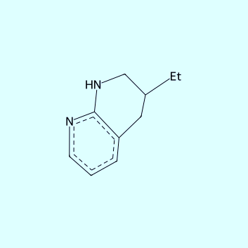 CCC1CNc2ncccc2C1